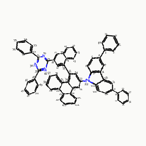 c1ccc(-c2ccc3c(c2)c2cc(-c4ccccc4)ccc2n3-c2cc(-c3cc(-c4nc(-c5ccccc5)nc(-c5ccccc5)n4)cc4ccccc34)c3c4ccccc4c4ccccc4c3c2)cc1